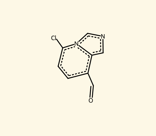 O=Cc1ccc(Cl)n2cncc12